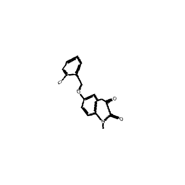 CN1C(=O)C(=O)c2cc(OCc3ccccc3Cl)ccc21